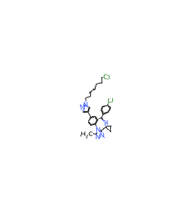 Cc1nnc2n1-c1ccc(-c3cnn(CCCCCCCCl)c3)cc1C(c1ccc(Cl)cc1)=NC21CC1